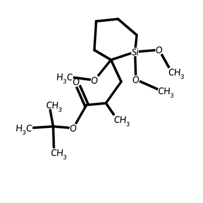 COC1(CC(C)C(=O)OC(C)(C)C)CCCC[Si]1(OC)OC